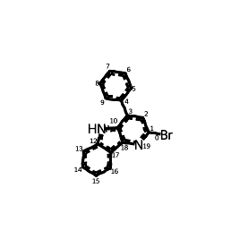 Brc1cc(-c2ccccc2)c2[nH]c3ccccc3c2n1